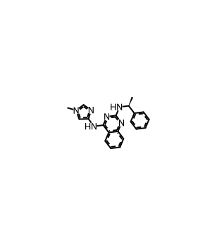 C[C@H](Nc1nc(Nc2cn(C)cn2)c2ccccc2n1)c1ccccc1